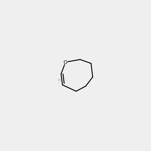 C1=C\OCCCCC/1